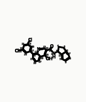 O=C(N[C@H]1CCc2ccccc21)c1cnc2c(-c3cc(Cl)cc(Cl)c3)cccc2c1O